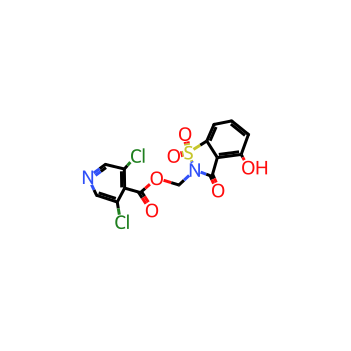 O=C(OCN1C(=O)c2c(O)cccc2S1(=O)=O)c1c(Cl)cncc1Cl